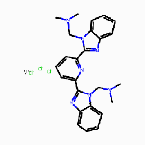 CN(C)Cn1c(-c2cccc(-c3nc4ccccc4n3CN(C)C)n2)nc2ccccc21.[Cl-].[Cl-].[Cl-].[V+3]